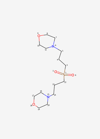 O=S(=O)(CCCN1CCOCC1)CCCN1CCOCC1